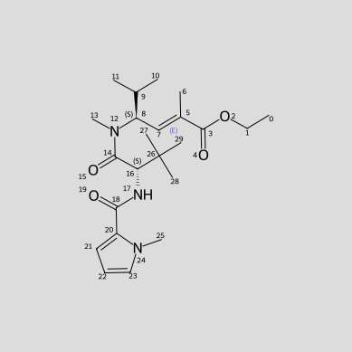 CCOC(=O)/C(C)=C/[C@H](C(C)C)N(C)C(=O)[C@@H](NC(=O)c1cccn1C)C(C)(C)C